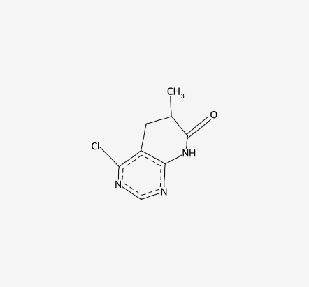 CC1Cc2c(Cl)ncnc2NC1=O